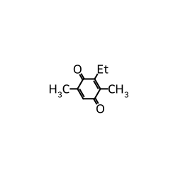 CCC1=C(C)C(=O)C=C(C)C1=O